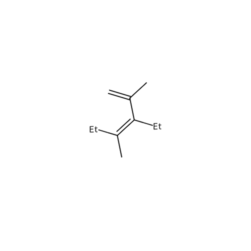 C=C(C)/C(CC)=C(/C)CC